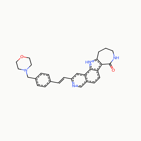 O=C1NCCCc2[nH]c3c(ccc4cnc(/C=C/c5ccc(CN6CCOCC6)cc5)cc43)c21